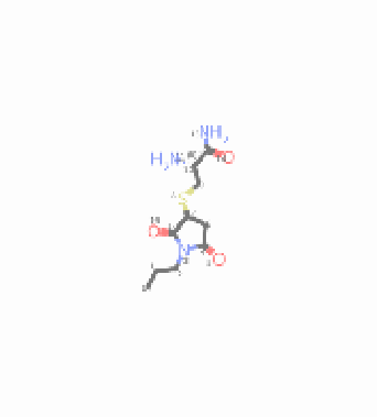 CCCN1C(=O)CC(SC[C@H](N)C(N)=O)C1=O